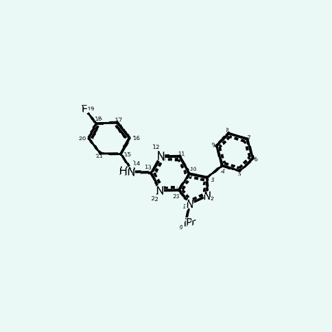 CC(C)n1nc(-c2ccccc2)c2cnc(NC3C=CC(F)=CC3)nc21